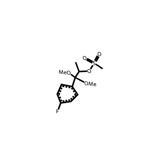 COC(OC)(c1ccc(F)cc1)C(C)OS(C)(=O)=O